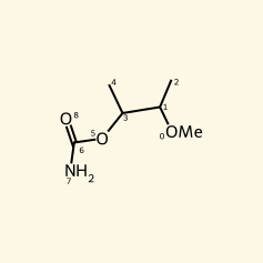 COC(C)C(C)OC(N)=O